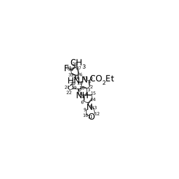 CCOC(=O)c1cc(-c2ccc(N3CCOCC3)cc2)c(C(=N)C2CCC2)c(Nc2ccc(C)c(F)c2)n1